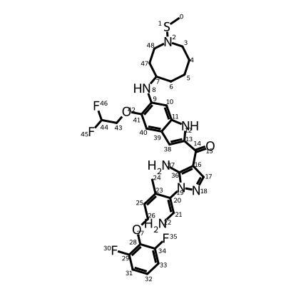 CSN1CCCCC(Nc2cc3[nH]c(C(=O)c4cnn(C(=C/N)/C(C)=C\COc5c(F)cccc5F)c4N)cc3cc2OCC(F)F)CC1